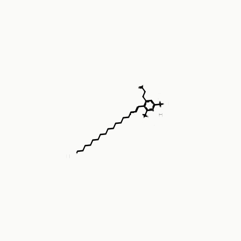 CCCCCCCCCCCCCCCCC=Cc1c(CCC(=O)O)cc(C(C)(C)C)c(O)c1C(C)(C)C